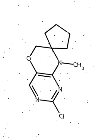 CN1c2nc(Cl)ncc2OCC12CCCC2